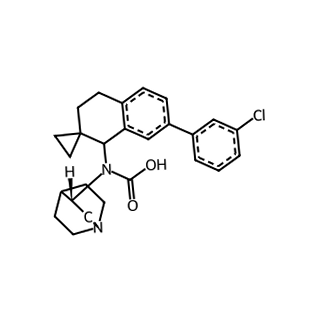 O=C(O)N(C1c2cc(-c3cccc(Cl)c3)ccc2CCC12CC2)[C@@H]1CN2CCC1CC2